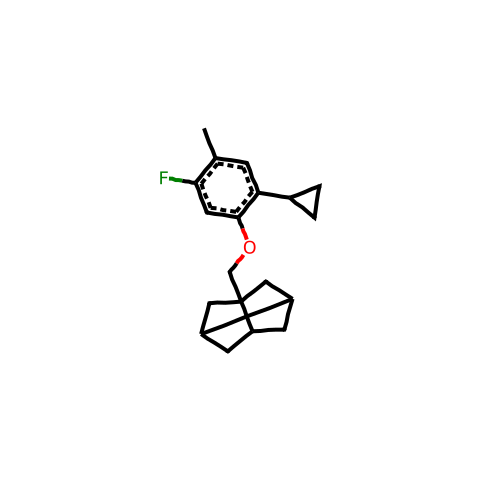 Cc1cc(C2CC2)c(OCC23CC4CC2CC4C3)cc1F